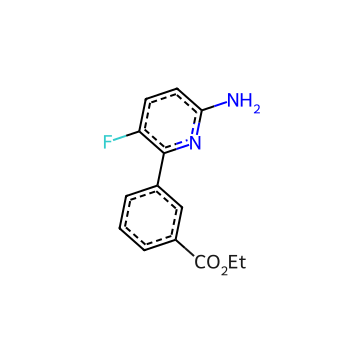 CCOC(=O)c1cccc(-c2nc(N)ccc2F)c1